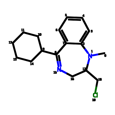 CN1c2ccccc2C(C2CCCCC2)=NCC1CCl